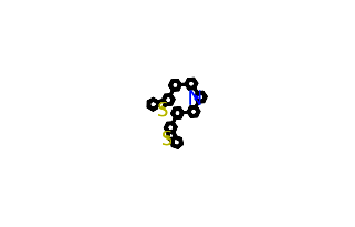 c1cc(-c2cccc(-c3cccc(-c4cccc(-c5cccc(-c6ccc7sc8ccccc8c7c6)c5)c4)n3)c2)cc(-c2ccc3sc4ccccc4c3c2)c1